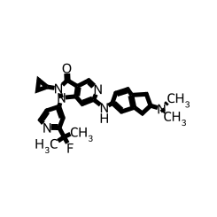 CN(C)C1Cc2ccc(Nc3cc4c(cn3)c(=O)n(C3CC3)n4-c3ccnc(C(C)(C)F)c3)cc2C1